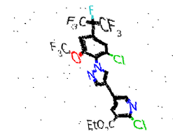 CCOC(=O)c1cc(-c2cnn(-c3c(Cl)cc(C(F)(C(F)(F)F)C(F)(F)F)cc3OC(F)(F)F)c2)cnc1Cl